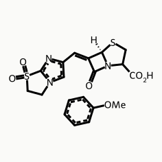 COc1ccccc1.O=C(O)C1CS[C@@H]2C(=Cc3cn4c(n3)S(=O)(=O)CC4)C(=O)N12